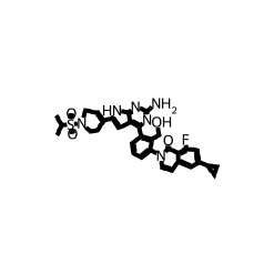 CC(C)S(=O)(=O)N1CC=C(c2cc3c(-c4cccc(-n5ccc6cc(C7CC7)cc(F)c6c5=O)c4CO)nc(N)nc3[nH]2)CC1